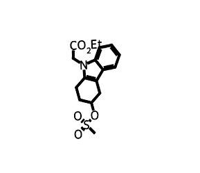 CCOC(=O)Cn1c2c(c3ccccc31)CC(OS(C)(=O)=O)CC2